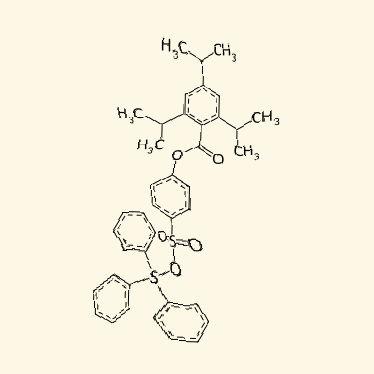 CC(C)c1cc(C(C)C)c(C(=O)Oc2ccc(S(=O)(=O)OS(c3ccccc3)(c3ccccc3)c3ccccc3)cc2)c(C(C)C)c1